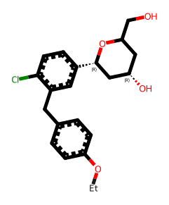 CCOc1ccc(Cc2cc([C@H]3C[C@@H](O)CC(CO)O3)ccc2Cl)cc1